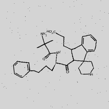 CC(C)(N)C(=O)N[C@H](CCCc1ccccc1)C(=O)C1C(CCC(=O)O)c2ccccc2C12CCNCC2